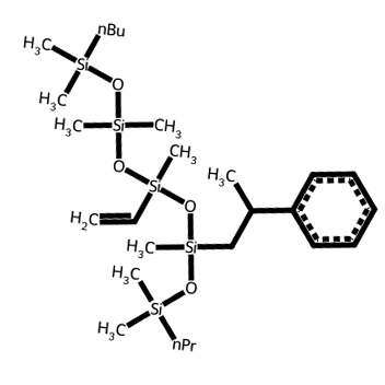 C=C[Si](C)(O[Si](C)(C)O[Si](C)(C)CCCC)O[Si](C)(CC(C)c1ccccc1)O[Si](C)(C)CCC